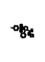 CCOC(=S)C1=CCN(S(=O)(=O)c2ccc(C)cc2)C1c1ccccc1